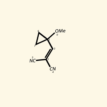 COC1(C=C(C#N)C#N)CC1